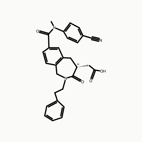 CN(C(=O)c1ccc2c(c1)C[C@H](CC(=O)O)C(=O)N(CCc1ccccc1)C2)c1ccc(C#N)cc1